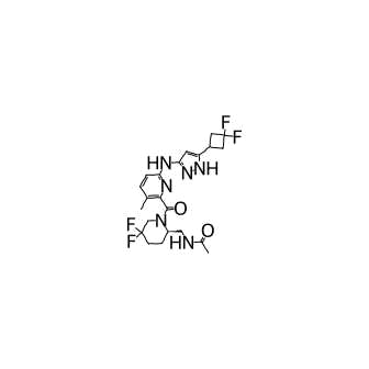 CC(=O)NC[C@H]1CCC(F)(F)CN1C(=O)c1nc(Nc2cc(C3CC(F)(F)C3)[nH]n2)ccc1C